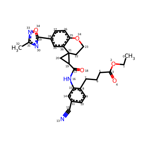 CCOC(=O)CCCc1ccc(C#N)cc1NC(=O)C1CC12CCOc1ccc(-c3nc(C)no3)cc12